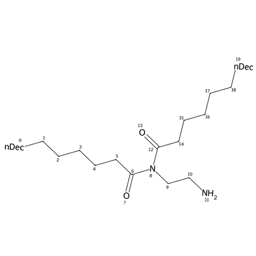 CCCCCCCCCCCCCCCC(=O)N(CCN)C(=O)CCCCCCCCCCCCCCC